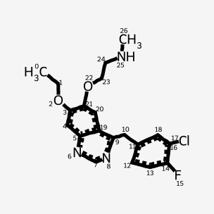 CCOc1cc2ncnc(Cc3ccc(F)c(Cl)c3)c2cc1OCCNC